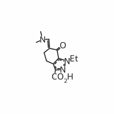 CCn1nc(C(=O)O)c2c1C(=O)C(=CN(C)C)CC2